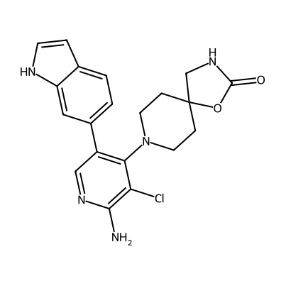 Nc1ncc(-c2ccc3cc[nH]c3c2)c(N2CCC3(CC2)CNC(=O)O3)c1Cl